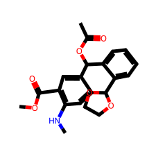 CNc1ccc(C(OC(C)=O)c2ccccc2C2OCCO2)cc1C(=O)OC